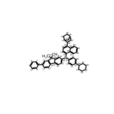 CC1(C)c2cc(-c3ccccc3)ccc2-c2ccc(N(c3ccc(C4CCCCC4)cc3)c3ccc(C4CC5CCC4C5)c4ccccc34)cc21